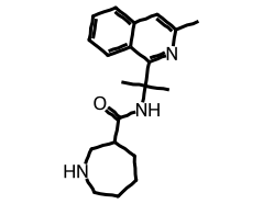 Cc1cc2ccccc2c(C(C)(C)NC(=O)C2CCCCNC2)n1